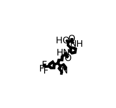 Cc1cc(C(=CC=CC(=O)Nc2cccc3c2CC(O)C(=O)N3)c2ccc(C(F)(F)F)cc2)ccn1